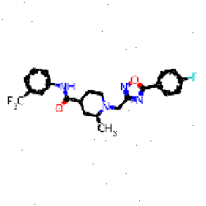 CC1CC(C(=O)Nc2cccc(C(F)(F)F)c2)CCN1Cc1noc(-c2ccc(F)cc2)n1